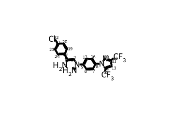 N/C(=C\N(N)c1ccc(-n2nc(C(F)(F)F)cc2C(F)(F)F)cc1)c1ccc(Cl)cc1